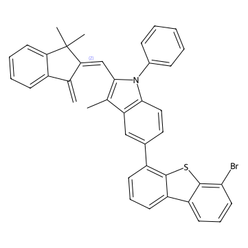 C=C1/C(=C\c2c(C)c3cc(-c4cccc5c4sc4c(Br)cccc45)ccc3n2-c2ccccc2)C(C)(C)c2ccccc21